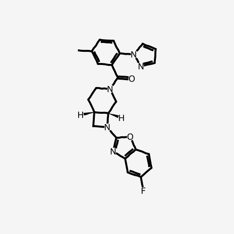 Cc1ccc(-n2cccn2)c(C(=O)N2CC[C@H]3CN(c4nc5cc(F)ccc5o4)[C@H]3C2)c1